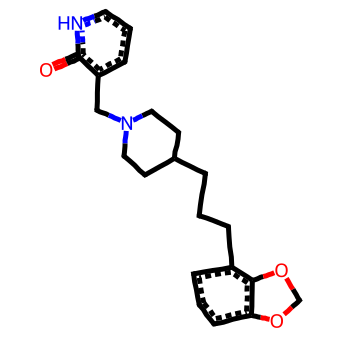 O=c1[nH]cccc1CN1CCC(CCCc2cccc3c2OCO3)CC1